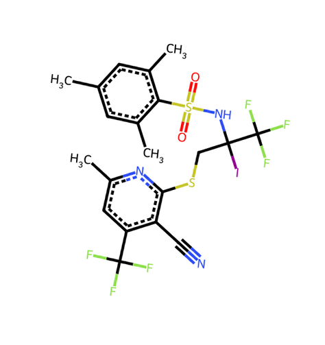 Cc1cc(C)c(S(=O)(=O)NC(I)(CSc2nc(C)cc(C(F)(F)F)c2C#N)C(F)(F)F)c(C)c1